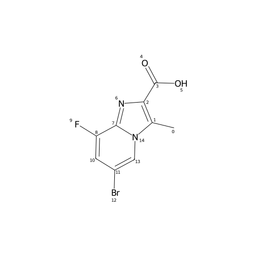 Cc1c(C(=O)O)nc2c(F)cc(Br)cn12